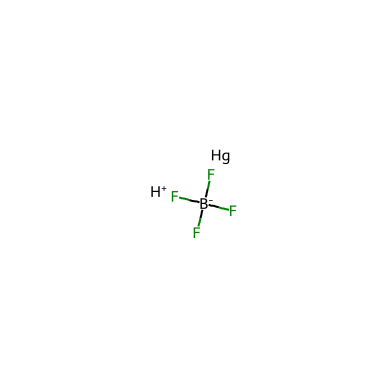 F[B-](F)(F)F.[H+].[Hg]